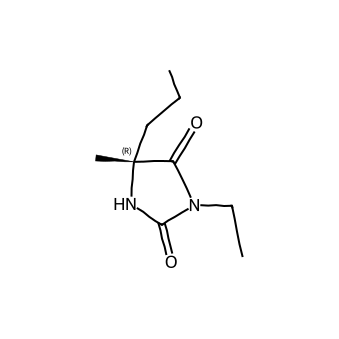 CCC[C@@]1(C)NC(=O)N(CC)C1=O